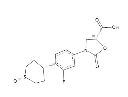 O=C(O)[C@H]1CN(c2ccc([C@H]3CC[S@@+]([O-])CC3)c(F)c2)C(=O)O1